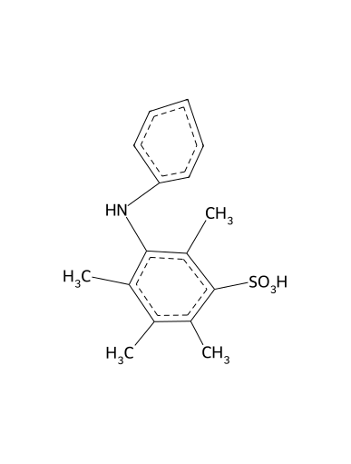 Cc1c(C)c(Nc2ccccc2)c(C)c(S(=O)(=O)O)c1C